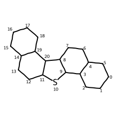 C1CCC2C(C1)CCC1C2SC2CCC3CCCCC3C21